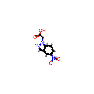 O=C(O)Cn1ncc2cc([N+](=O)[O-])ccc21